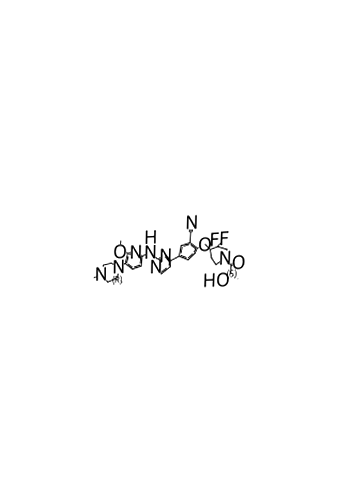 COc1nc(Nc2nccc(-c3ccc(OC4CCN(C(=O)[C@H](C)O)CC4(F)F)c(C#N)c3)n2)ccc1N1CCN(C)C[C@H]1C